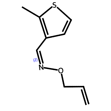 C=CCO/N=C\c1ccsc1C